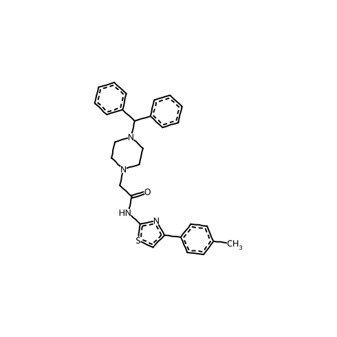 Cc1ccc(-c2csc(NC(=O)CN3CCN(C(c4ccccc4)c4ccccc4)CC3)n2)cc1